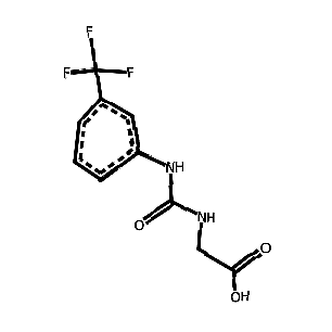 O=C(O)CNC(=O)Nc1cccc(C(F)(F)F)c1